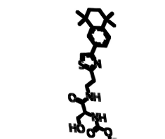 CC(C)(C)OC(=O)N[C@@H](CO)C(=O)NCCc1nc(-c2ccc3c(c2)C(C)(C)CCC3(C)C)cs1